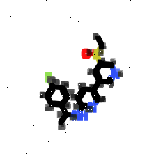 CC[S+]([O-])c1cncc(-c2ccc(NC(C)c3ccc(F)cc3)nc2)c1